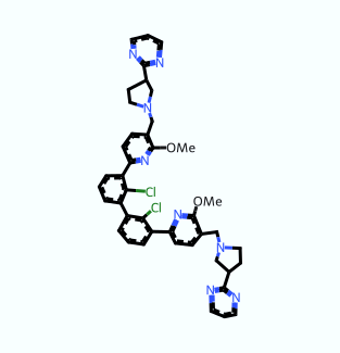 COc1nc(-c2cccc(-c3cccc(-c4ccc(CN5CCC(c6ncccn6)C5)c(OC)n4)c3Cl)c2Cl)ccc1CN1CCC(c2ncccn2)C1